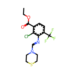 CCOC(=O)c1ccc(C(F)(F)F)c(/N=C/N2CCSCC2)c1Cl